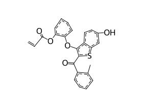 C=CC(=O)Oc1ccccc1Oc1c(C(=O)c2ccccc2C)sc2cc(O)ccc12